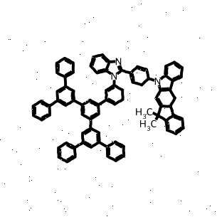 CC1(C)C2=Cc3c(c4ccccc4n3C3C=CC(c4nc5ccccc5n4C4=CC(c5cc(-c6cc(-c7ccccc7)cc(-c7ccccc7)c6)cc(-c6cc(-c7ccccc7)cc(-c7ccccc7)c6)c5)=CCC4)=CC3)CC2c2ccccc21